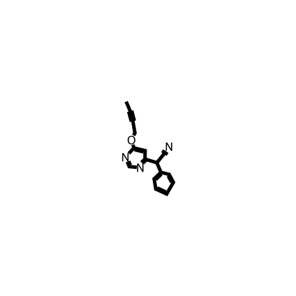 CC#CCOc1cc(C(C#N)c2ccccc2)ncn1